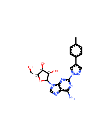 Cc1ccc(-c2cnn(-c3nc(N)c4ncn(C5O[C@H](CO)[C@@H](O)[C@H]5O)c4n3)c2)cc1